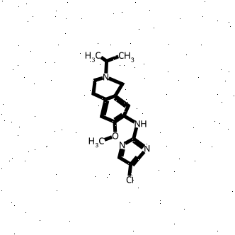 COc1cc2c(cc1Nc1ncc(Cl)cn1)CN(C(C)C)CC2